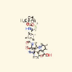 CC(C)(C)OC(=O)NC(CF)[C@H]1CC[C@H](C(=O)N2CC[C@H](c3ccccc3-c3ncccc3C(=O)O)[C@H]2C(N)=O)CC1